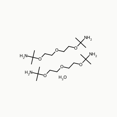 CC(C)(N)OCCOCCOC(C)(C)N.CC(C)(N)OCCOCCOC(C)(C)N.O